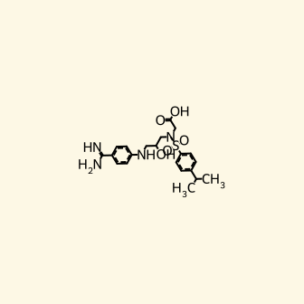 CC(C)c1ccc(S(=O)(=O)N(CC(=O)O)CC(O)CNc2ccc(C(=N)N)cc2)cc1